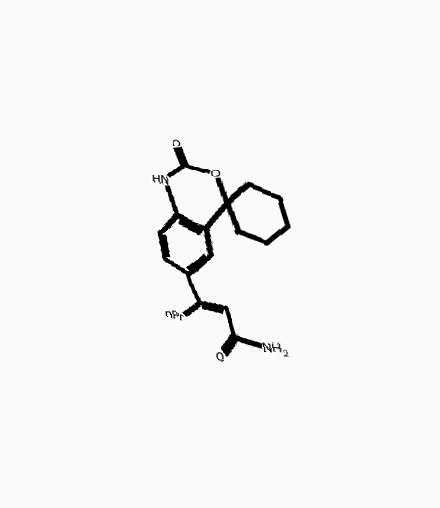 CCCC(=CC(N)=O)c1ccc2c(c1)C1(CCCCC1)OC(=O)N2